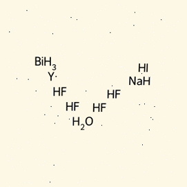 F.F.F.F.I.O.[BiH3].[NaH].[Y]